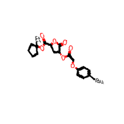 CCC(C)c1ccc(OCC(=O)OC2CC(C(=O)OC3(CC)CCCC3)OC2=O)cc1